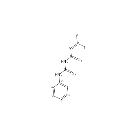 CC(C)=CC(=O)NC(=S)Nc1ccccc1